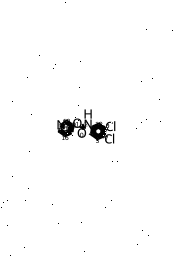 O=C(Nc1ccc(Cl)c(Cl)c1)OC1CN2CCC1CC2